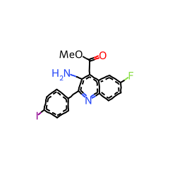 COC(=O)c1c(N)c(-c2ccc(I)cc2)nc2ccc(F)cc12